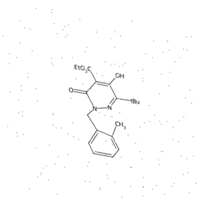 CCOC(=O)c1c(O)c(C(C)(C)C)nn(Cc2ccccc2C)c1=O